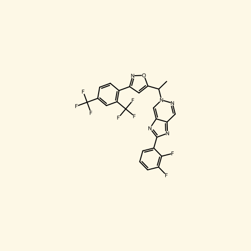 CC(c1cc(-c2ccc(C(F)(F)F)cc2C(F)(F)F)no1)n1cc2nc(-c3cccc(F)c3F)nc-2cn1